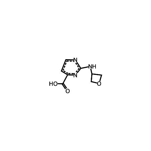 O=C(O)c1ccnc(NC2COC2)n1